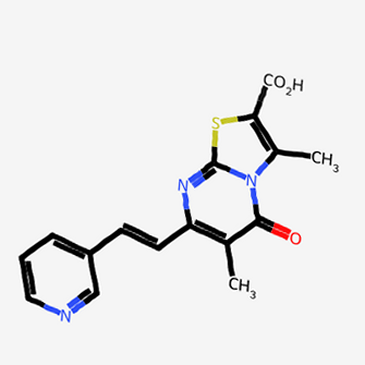 Cc1c(/C=C/c2cccnc2)nc2sc(C(=O)O)c(C)n2c1=O